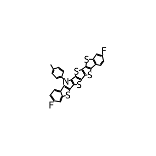 Cc1ccc(-n2c3c4ccc(F)cc4sc3c3sc4c5sc6c7ccc(F)cc7sc6c5sc4c32)cc1